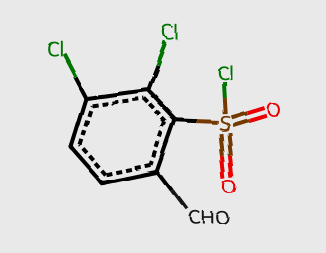 O=Cc1ccc(Cl)c(Cl)c1S(=O)(=O)Cl